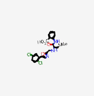 CSCC(NCc1ncc(-c2cc(Cl)ccc2Cl)o1)C(=O)Nc1ccccc1C(=O)O